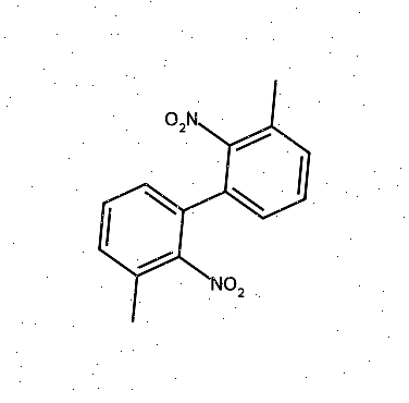 Cc1cccc(-c2cccc(C)c2[N+](=O)[O-])c1[N+](=O)[O-]